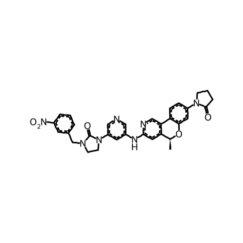 C[C@@H]1Oc2cc(N3CCCC3=O)ccc2-c2cnc(Nc3cncc(N4CCN(Cc5cccc([N+](=O)[O-])c5)C4=O)c3)cc21